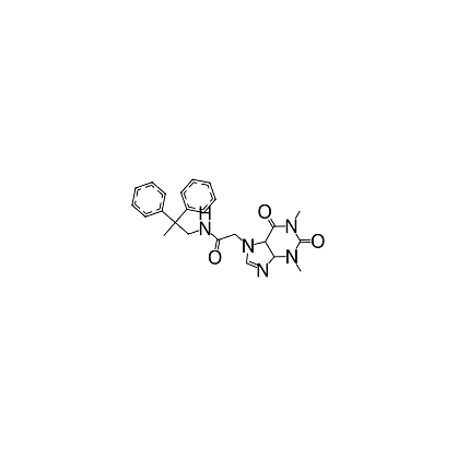 CN1C(=O)C2C(N=CN2CC(=O)NCC(C)(c2ccccc2)c2ccccc2)N(C)C1=O